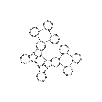 c1ccc2c(c1)-c1ccccc1-c1cc3c4c5c6cc7c(cc6n6c8ccccc8c(c8c9ccccc9n(c3cc1-c1ccccc1-2)c84)c56)-c1ccccc1-c1ccccc1-c1ccccc1-7